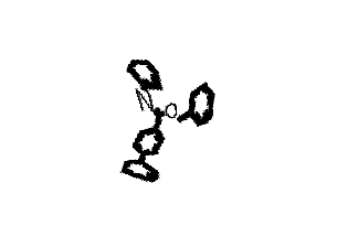 c1ccc(CO/C(=N\c2ccccc2)c2ccc(-c3ccccc3)cc2)cc1